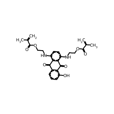 C=C(C)C(=O)OCCNc1ccc(NCCOC(=O)C(=C)C)c2c1C(=O)c1cccc(O)c1C2=O